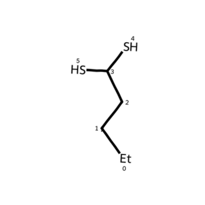 CC[CH]CC(S)S